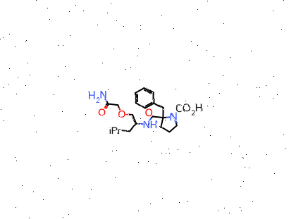 CC(C)CC(COCC(N)=O)NC(=O)C1(Cc2ccccc2)CCCN1C(=O)O